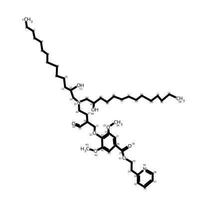 CCCCCCCCCCCCC(O)CN(CCC(C=O)COc1c(OC)cc(C(=O)OCCc2ccccn2)cc1OC)CC(O)CCCCCCCCCCCC